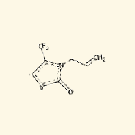 C=CCn1c(C(F)(F)F)[c]sc1=O